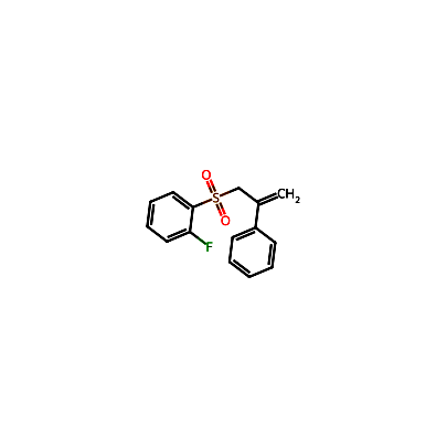 C=C(CS(=O)(=O)c1ccccc1F)c1ccccc1